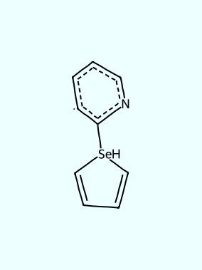 [c]1cccnc1[SeH]1C=CC=C1